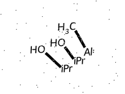 CC(C)O.CC(C)O.[CH3][Al]